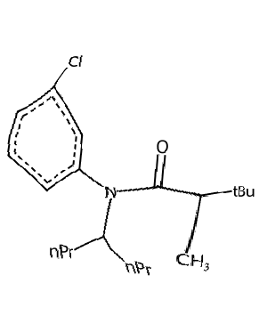 CCCC(CCC)N(C(=O)C(C)C(C)(C)C)c1cccc(Cl)c1